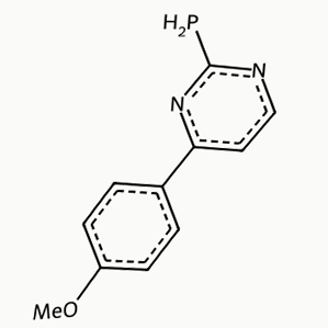 COc1ccc(-c2ccnc(P)n2)cc1